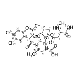 CNC(CC(=O)O[C@@]1(N2CCCC2)CN(C(=O)C(c2ccc(Cl)c(Cl)c2)[C@H](O)C(C)=O)[C@H](C)CN1C(=O)O)C(=O)O